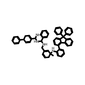 CC1(Nc2ccccc2-c2cccc3c2-c2ccccc2C3(c2ccccc2)c2ccccc2)C=C(CNC(NC(N)C2=CCC(c3ccccc3)C=C2)c2ccccc2)C=CC1